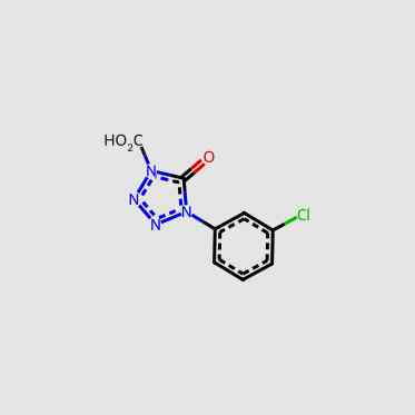 O=C(O)n1nnn(-c2cccc(Cl)c2)c1=O